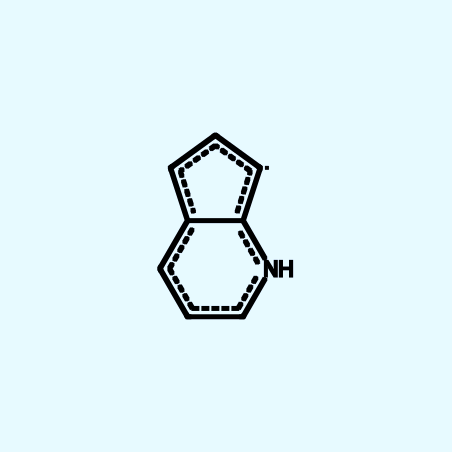 [c]1ccc2ccc[nH]c1-2